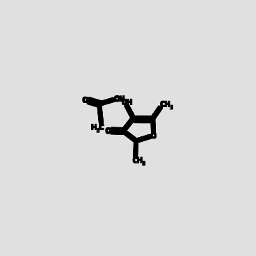 CC(=O)O.CC1=C(O)C(=O)C(C)O1